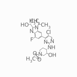 CC(C)n1c([C@@H](C)O)nc2c(F)cc(-c3nc(N[C@H]4CCN(S(C)(=O)=O)C[C@@H]4O)ncc3Cl)cc21